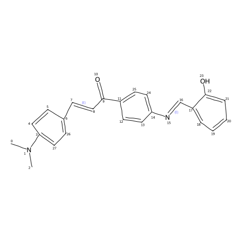 CN(C)c1ccc(/C=C/C(=O)c2ccc(/N=C/c3ccccc3O)cc2)cc1